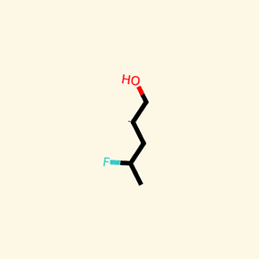 CC(F)C[CH]CO